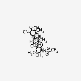 [C-]#[N+]C1=C[C@]2(C)[C@H]3CC(=O)[C@@H]4[C@@H]5CC(C)(C)CC[C@]5(CNS(=O)(=O)CC(F)(F)F)CC[C@@]4(C)[C@]3(C)CC[C@H]2C(C)(C)C1=O